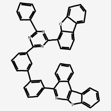 c1ccc(-c2nc(-c3cccc(-c4cccc(-c5nc6sc7ccccc7c6c6ccccc56)c4)c3)nc(-c3cccc4c3oc3ccccc34)n2)cc1